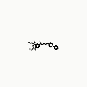 CNS(=O)(=O)c1cc(C(=O)CCCCN2CCN(c3ccccc3)CC2)ccc1S(C)(=O)=O